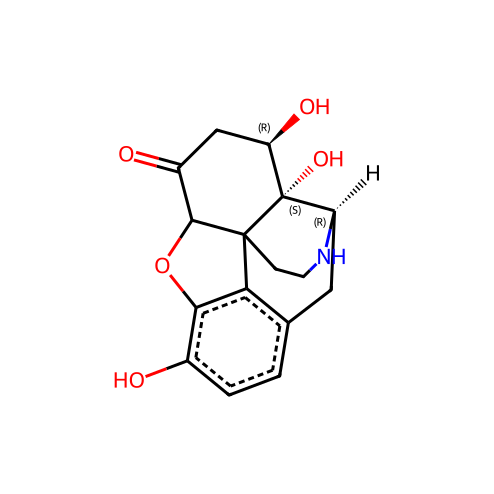 O=C1C[C@@H](O)[C@@]2(O)[C@H]3Cc4ccc(O)c5c4C2(CCN3)C1O5